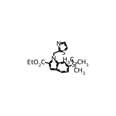 CCOC(=O)c1cc2ccc([Si](C)(C)C)cc2n1Cc1nccs1